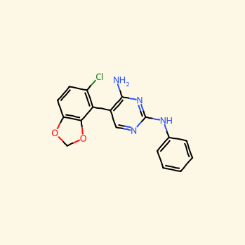 Nc1nc(Nc2ccccc2)ncc1-c1c(Cl)ccc2c1OCO2